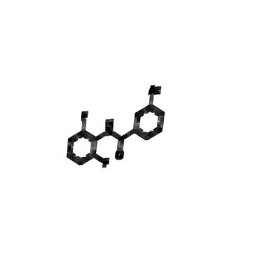 CC(=O)c1cccc(C(=O)Nc2c(F)cccc2F)c1